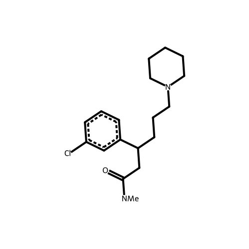 CNC(=O)CC(CCCN1CCCCC1)c1cccc(Cl)c1